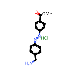 COC(=O)c1ccc(/N=N/c2ccc(CN)cc2)cc1.Cl